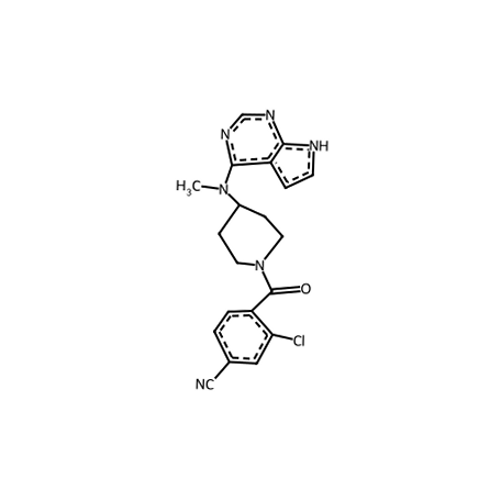 CN(c1ncnc2[nH]ccc12)C1CCN(C(=O)c2ccc(C#N)cc2Cl)CC1